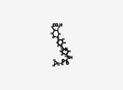 O=C(O)CC1CCC(c2ccc(-c3ccc(NC(=O)OCC4CC4)cn3)cc2)CC1